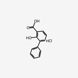 Cl.O=C(O)c1cccc(-c2ccccc2)c1O